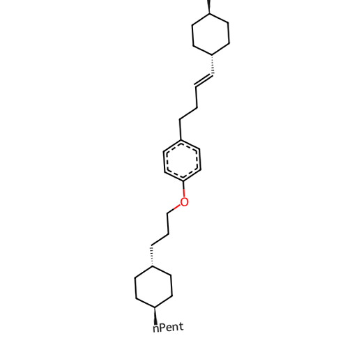 CCCCC[C@H]1CC[C@H](C=CCCc2ccc(OCCC[C@H]3CC[C@H](CCCCC)CC3)cc2)CC1